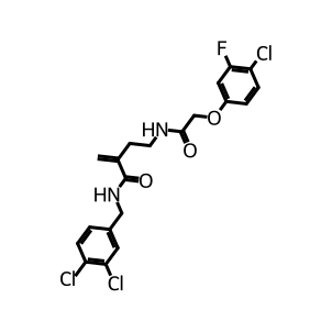 C=C(CCNC(=O)COc1ccc(Cl)c(F)c1)C(=O)NCc1ccc(Cl)c(Cl)c1